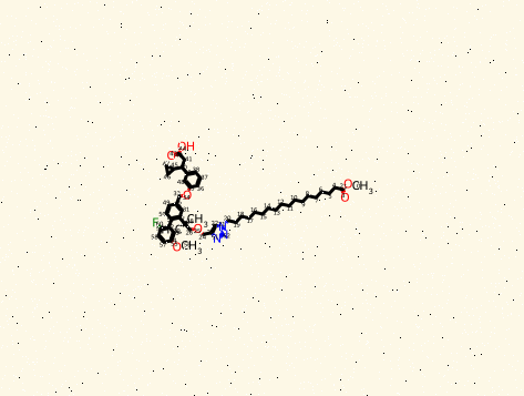 COC(=O)CCCCCCCCCCCCCCCCCn1cc(COCC(C)(C)c2cc(COc3cccc(C(CC(=O)O)C4CC4)c3)ccc2-c2cc(OC)ccc2F)nn1